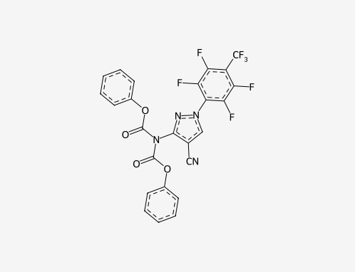 N#Cc1cn(-c2c(F)c(F)c(C(F)(F)F)c(F)c2F)nc1N(C(=O)Oc1ccccc1)C(=O)Oc1ccccc1